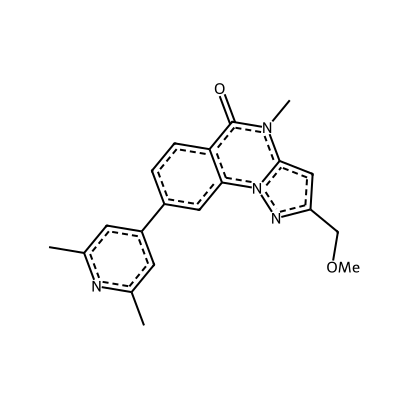 COCc1cc2n(C)c(=O)c3ccc(-c4cc(C)nc(C)c4)cc3n2n1